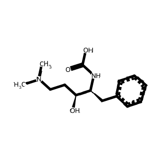 CN(C)CC[C@H](O)[C@H](Cc1ccccc1)NC(=O)O